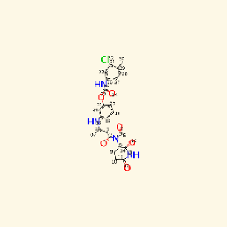 C/C(=C\C(=O)N(C=O)C1CCC(=O)NC1=O)Nc1cccc(OC(=O)Nc2ccc(C)c(Cl)c2)c1